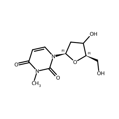 Cn1c(=O)ccn([C@H]2CC(O)[C@@H](CO)O2)c1=O